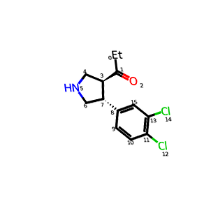 CCC(=O)[C@@H]1CNC[C@H]1c1ccc(Cl)c(Cl)c1